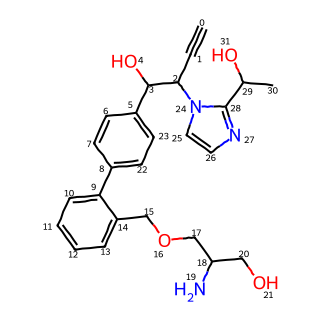 C#CC(C(O)c1ccc(-c2ccccc2COCC(N)CO)cc1)n1ccnc1C(C)O